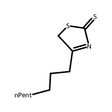 CCCCCCCCC1=NC(=S)SC1